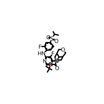 CC(C)S(=O)(=O)c1ccc(Nc2ncnc(OC3C4COCC3CN(C(=O)OC(C)(C)C)C4)c2F)c(F)c1